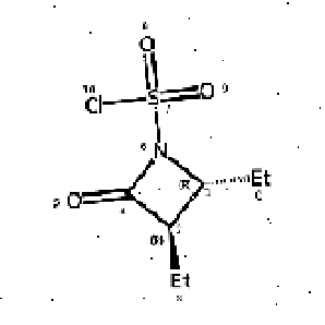 CC[C@@H]1[C@@H](CC)C(=O)N1S(=O)(=O)Cl